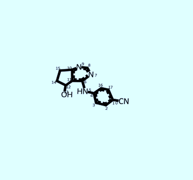 N#Cc1ccc(Nc2ncnc3c2C(O)CC3)cc1